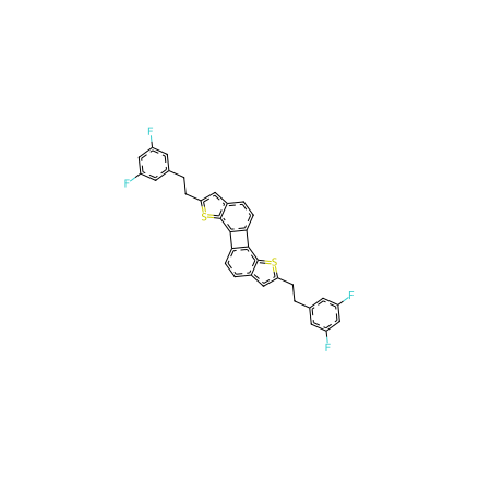 Fc1cc(F)cc(CCc2cc3ccc4c(c3s2)-c2ccc3cc(CCc5cc(F)cc(F)c5)sc3c2-4)c1